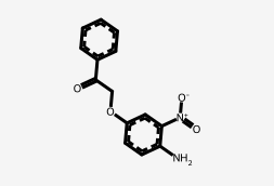 Nc1ccc(OCC(=O)c2ccccc2)cc1[N+](=O)[O-]